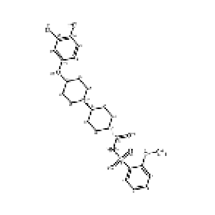 COc1ccccc1S(=O)(=O)NC(=O)[C@H]1CC[C@H](N2CCC(Oc3ccc(Cl)c(Cl)c3)CC2)CC1